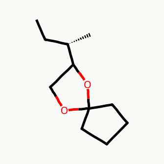 CC[C@H](C)C1COC2(CCCC2)O1